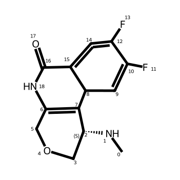 CN[C@@H]1COCC2=C1C1C=C(F)C(F)=C=C1C(=O)N2